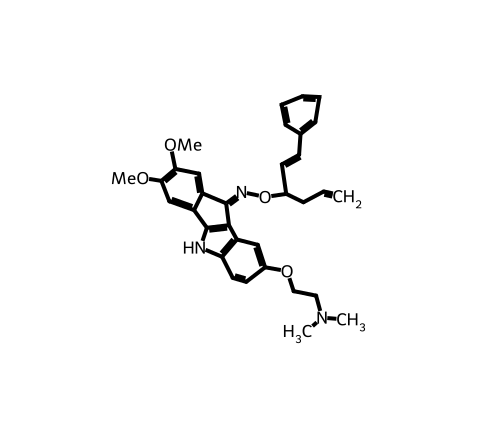 C=CCC(/C=C/c1ccccc1)O/N=C1/c2cc(OC)c(OC)cc2-c2[nH]c3ccc(OCCN(C)C)cc3c21